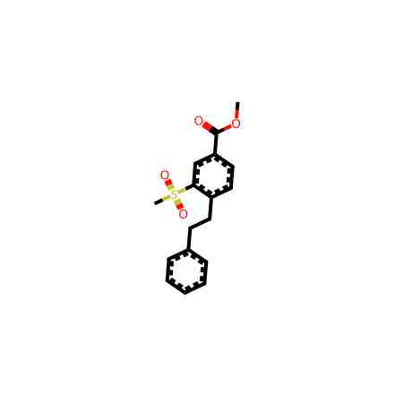 COC(=O)c1ccc(CCc2ccccc2)c(S(C)(=O)=O)c1